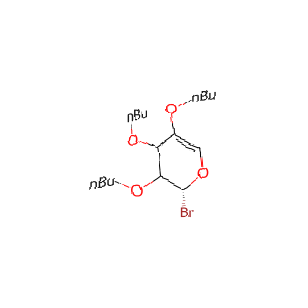 CCCCOC1=CO[C@H](Br)C(OCCCC)C1OCCCC